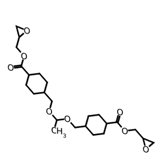 CC(OCC1CCC(C(=O)OCC2CO2)CC1)OCC1CCC(C(=O)OCC2CO2)CC1